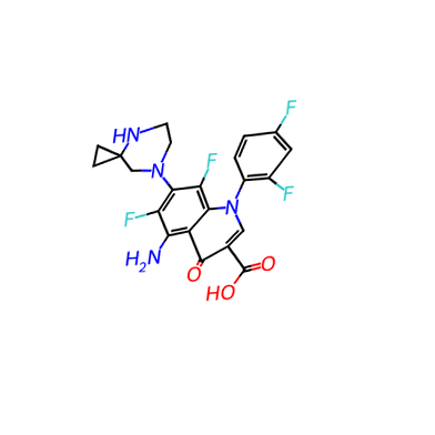 Nc1c(F)c(N2CCNC3(CC3)C2)c(F)c2c1c(=O)c(C(=O)O)cn2-c1ccc(F)cc1F